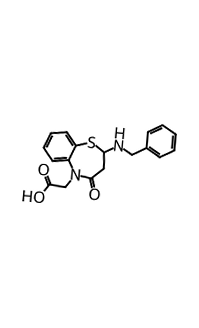 O=C(O)CN1C(=O)CC(NCc2ccccc2)Sc2ccccc21